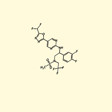 CS(=O)(=O)N(CC(Nc1ncc(-c2nnc(C(F)F)o2)cn1)c1ccc(F)c(F)c1)CC(F)(F)F